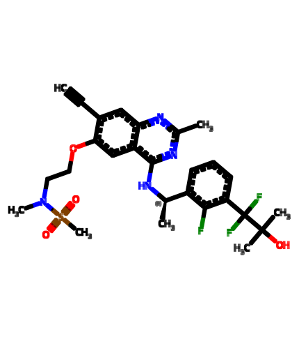 C#Cc1cc2nc(C)nc(N[C@H](C)c3cccc(C(F)(F)C(C)(C)O)c3F)c2cc1OCCN(C)S(C)(=O)=O